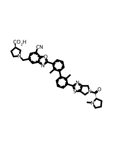 Cc1c(-c2nc3cc(CN4CC[C@@H](C(=O)O)C4)cc(C#N)c3o2)cccc1-c1cccc(-c2nc3c(s2)CN(C(=O)[C@@H]2CCCN2C)C3)c1C